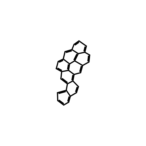 c1ccc2c(c1)ccc1c2cc2ccc3cc4cccc5ccc6cc1c2c3c6c54